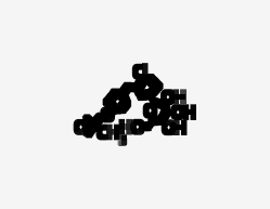 CC1(COc2ccc(Cc3cc([C@@H]4O[C@H](CO)[C@@H](O)[C@H](O)[C@H]4O)ccc3Cl)cc2)COC1